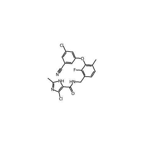 Cc1nc(Cl)c(C(=O)NCc2ccc(C)c(Oc3cc(Cl)cc(C#N)c3)c2F)[nH]1